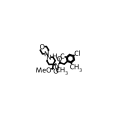 COC(=O)C1(N(C)C(=O)Cc2c(C)cc(Cl)cc2C)CCN(N2CCOCC2)CC1